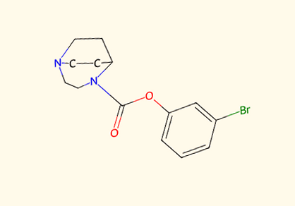 O=C(Oc1cccc(Br)c1)N1CCN2CCC1CC2